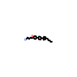 CCCCCc1ccc(C2CCC(C3CCC(C=CC=CC#N)(OC)CC3)CC2)cc1